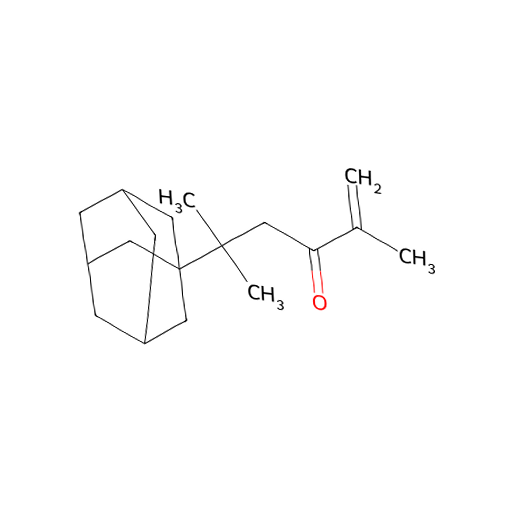 C=C(C)C(=O)CC(C)(C)C12CC3CC(CC(C3)C1)C2